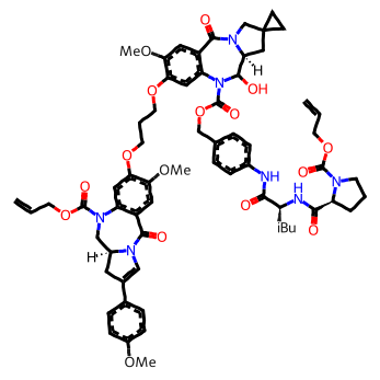 C=CCOC(=O)N1C[C@@H]2CC(c3ccc(OC)cc3)=CN2C(=O)c2cc(OC)c(OCCCOc3cc4c(cc3OC)C(=O)N3CC5(CC5)C[C@H]3C(O)N4C(=O)OCc3ccc(NC(=O)[C@@H](NC(=O)[C@@H]4CCCN4C(=O)OCC=C)C(C)CC)cc3)cc21